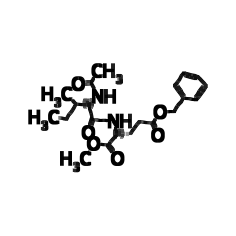 CCC(C)[C@H](NC(C)=O)C(=O)N[C@H](CCC(=O)OCc1ccccc1)C(=O)OC